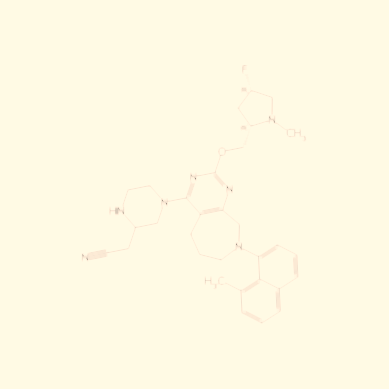 Cc1cccc2cccc(N3CCCc4c(nc(OC[C@@H]5C[C@H](F)CN5C)nc4N4CCNC(CC#N)C4)C3)c12